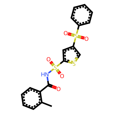 Cc1ccccc1C(=O)NS(=O)(=O)c1cc(S(=O)(=O)c2ccccc2)cs1